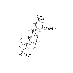 CCOC(=O)c1nn(C)c2c1CCc1cnc(Nc3cc(OC)cc(C(F)(F)F)c3)nc1-2